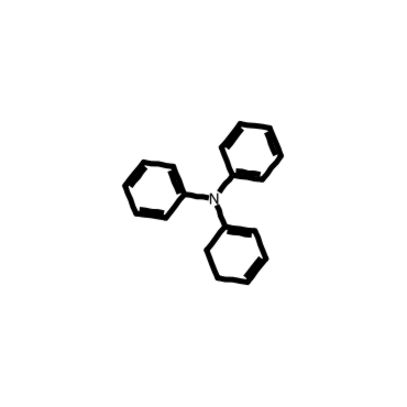 C1=CCCC(N(c2ccccc2)c2ccccc2)=C1